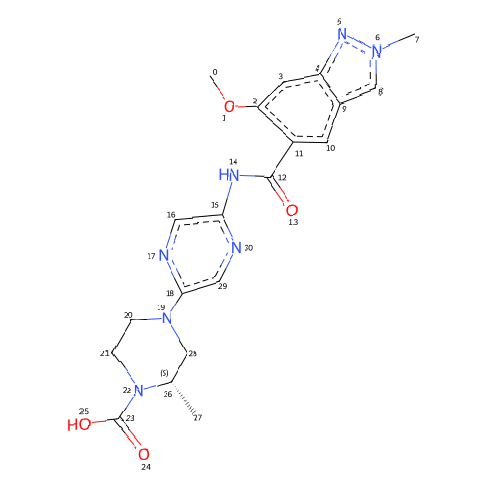 COc1cc2nn(C)cc2cc1C(=O)Nc1cnc(N2CCN(C(=O)O)[C@@H](C)C2)cn1